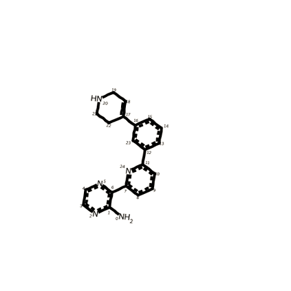 Nc1nccnc1-c1cccc(-c2cccc(C3=CCNCC3)c2)n1